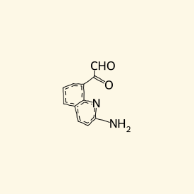 Nc1ccc2cccc(C(=O)C=O)c2n1